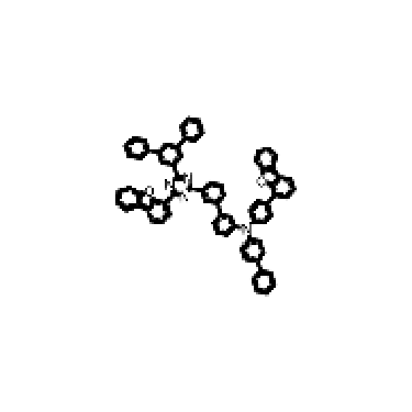 c1ccc(-c2ccc(N(c3ccc(-c4cccc5c4oc4ccccc45)cc3)c3cccc(-c4cccc(-c5nc(-c6cc(-c7ccccc7)cc(-c7ccccc7)c6)nc(-c6cccc7c6oc6ccccc67)n5)c4)c3)cc2)cc1